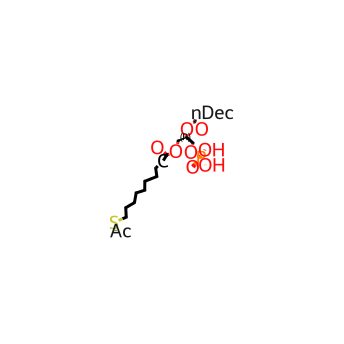 CCCCCCCCCCC(=O)O[C@H](COC(=O)CCCCCCCCCSC(C)=O)COP(=O)(O)O